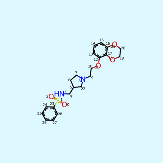 O=S(=O)(NCC1CCN(CCOc2cccc3c2OCCO3)C1)c1ccccc1